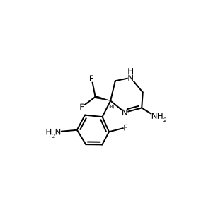 NC1=N[C@@](c2cc(N)ccc2F)(C(F)F)CNC1